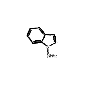 CNn1[c]cc2ccccc21